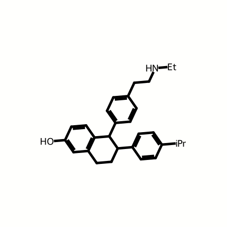 CCNCCc1ccc(C2c3ccc(O)cc3CCC2c2ccc(C(C)C)cc2)cc1